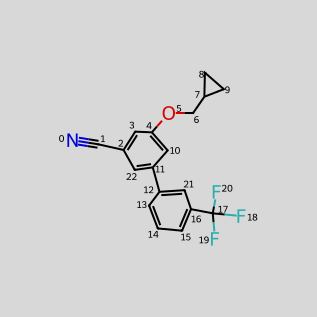 N#Cc1cc(OCC2CC2)cc(-c2cccc(C(F)(F)F)c2)c1